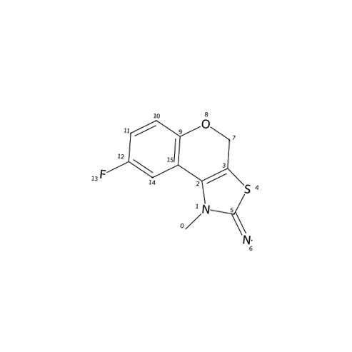 Cn1c2c(sc1=[N])COc1ccc(F)cc1-2